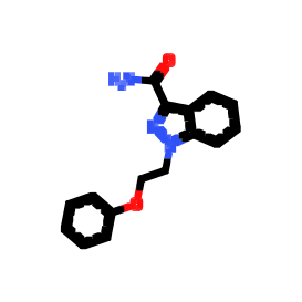 NC(=O)c1nn(CCOc2ccccc2)c2ccccc12